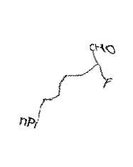 [CH2]CCCCCC(F)C=O